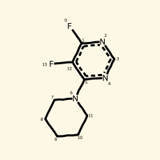 Fc1n[c]nc(N2CCCCC2)c1F